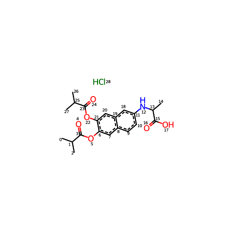 CC(C)C(=O)Oc1cc2ccc(NC(C)C(=O)O)cc2cc1OC(=O)C(C)C.Cl